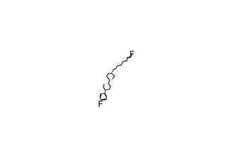 F/C=C/CCCCCC[C@H]1CC[C@H]([C@H]2CC[C@H](c3ccc(F)cc3)CC2)CC1